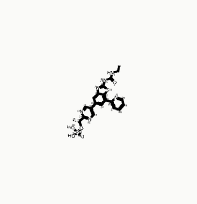 CCNC(=O)Nc1nc2cc(-c3cnc([C@@H](C)OP(=O)(O)O)nc3)cc(-c3ccccn3)c2s1